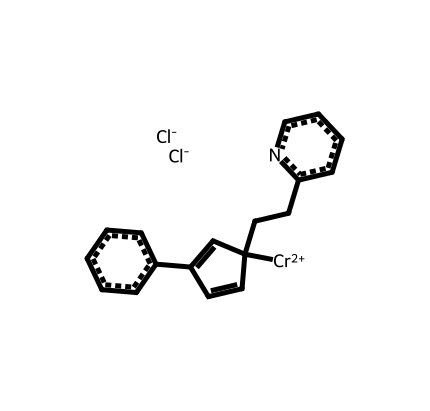 [Cl-].[Cl-].[Cr+2][C]1(CCc2ccccn2)C=CC(c2ccccc2)=C1